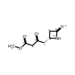 COC(=O)CC(=O)C[C@@H]1CC(=O)N1